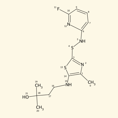 Cc1nc(SNc2cccc(F)n2)sc1NCCC(C)(C)O